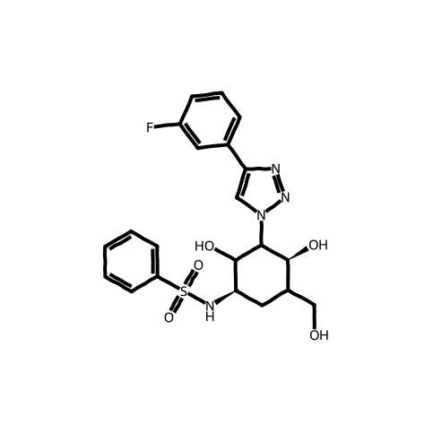 O=S(=O)(N[C@@H]1CC(CO)[C@H](O)C(n2cc(-c3cccc(F)c3)nn2)C1O)c1ccccc1